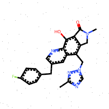 Cc1ncn(Cc2c3c(c(O)c4ncc(Cc5ccc(F)cc5)cc24)C(=O)N(C)C3)n1